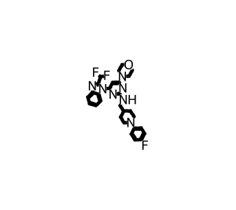 Fc1ccc(N2CCC(CNc3nc(N4CCOCC4)cc(-n4c(C(F)F)nc5ccccc54)n3)CC2)cc1